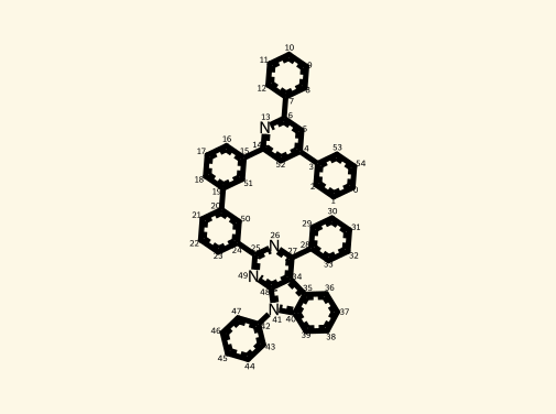 c1ccc(-c2cc(-c3ccccc3)nc(-c3cccc(-c4cccc(-c5nc(-c6ccccc6)c6c7ccccc7n(-c7ccccc7)c6n5)c4)c3)c2)cc1